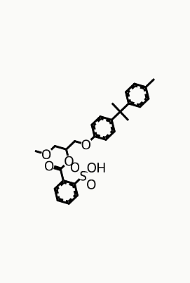 COCC(COc1ccc(C(C)(C)c2ccc(C)cc2)cc1)OC(=O)c1ccccc1S(=O)(=O)O